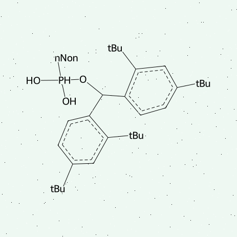 CCCCCCCCC[PH](O)(O)OC(c1ccc(C(C)(C)C)cc1C(C)(C)C)c1ccc(C(C)(C)C)cc1C(C)(C)C